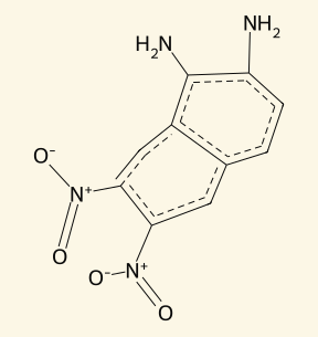 Nc1ccc2cc([N+](=O)[O-])c([N+](=O)[O-])cc2c1N